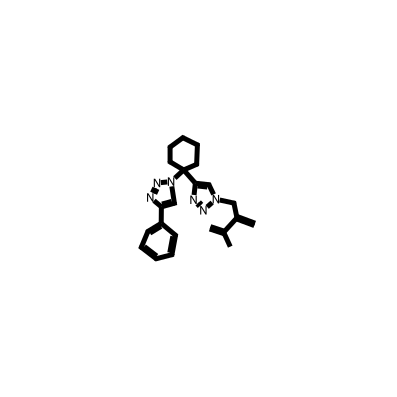 C=C(C)C(=C)Cn1cc(C2(n3cc(-c4ccccc4)nn3)CCCCC2)nn1